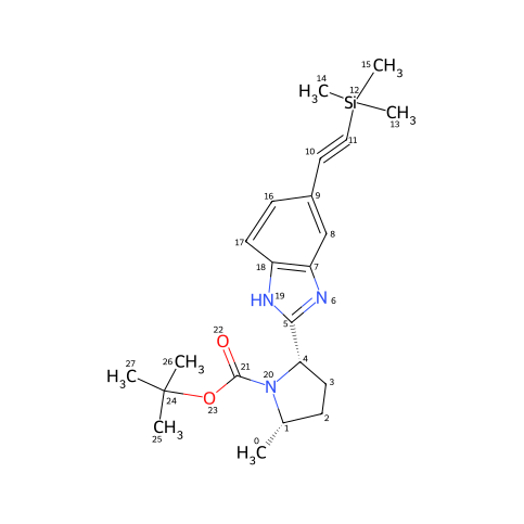 C[C@H]1CC[C@@H](c2nc3cc(C#C[Si](C)(C)C)ccc3[nH]2)N1C(=O)OC(C)(C)C